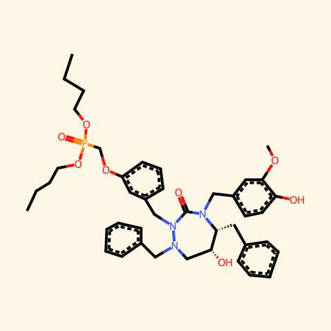 CCCCOP(=O)(COc1cccc(CN2C(=O)N(Cc3ccc(O)c(OC)c3)[C@H](Cc3ccccc3)[C@H](O)CN2Cc2ccccc2)c1)OCCCC